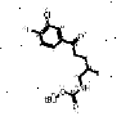 CC(CCC(=O)c1ccc(F)c(Cl)c1)CNC(=O)OC(C)(C)C